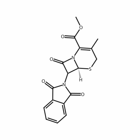 COC(=O)C1=C(C)CS[C@H]2C(N3C(=O)c4ccccc4C3=O)C(=O)N12